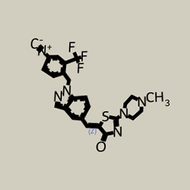 [C-]#[N+]c1ccc(Cn2ncc3cc(/C=C4\SC(N5CCN(C)CC5)=NC4=O)ccc32)c(C(F)(F)F)c1